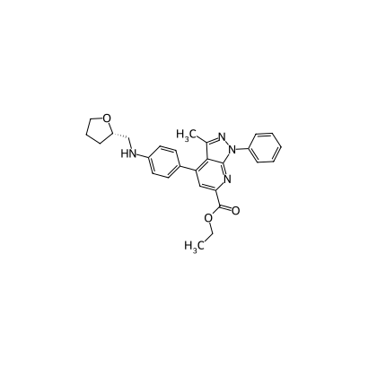 CCOC(=O)c1cc(-c2ccc(NC[C@@H]3CCCO3)cc2)c2c(C)nn(-c3ccccc3)c2n1